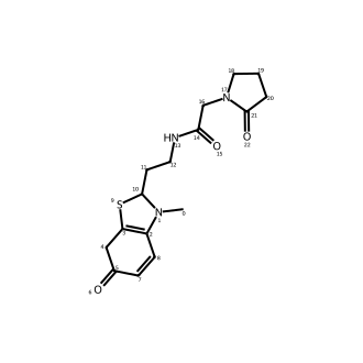 CN1C2=C(CC(=O)C=C2)SC1CCNC(=O)CN1CCCC1=O